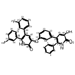 O=c1[nH]c(-c2ccccc2)c(-c2cccc(Oc3cc(-c4cccc(F)c4)c(-c4cccc(F)c4)[nH]c3=O)c2)cc1O